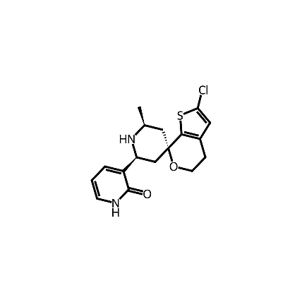 C[C@H]1C[C@@]2(C[C@@H](c3ccc[nH]c3=O)N1)OCCc1cc(Cl)sc12